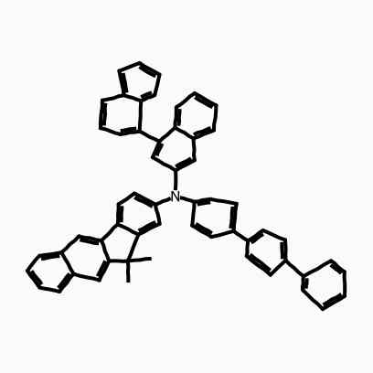 CC1(C)c2cc(N(c3ccc(-c4ccc(-c5ccccc5)cc4)cc3)c3cc(-c4cccc5ccccc45)c4ccccc4c3)ccc2-c2cc3ccccc3cc21